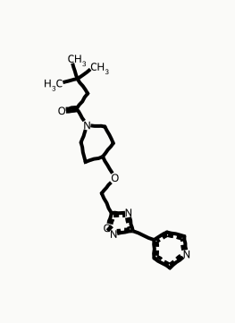 CC(C)(C)CC(=O)N1CCC(OCc2nc(-c3ccncc3)no2)CC1